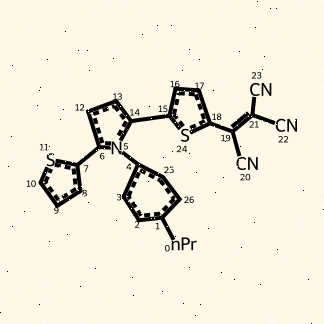 CCCc1ccc(-n2c(-c3cccs3)ccc2-c2ccc(C(C#N)=C(C#N)C#N)s2)cc1